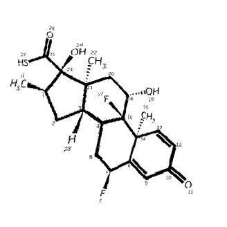 C[C@@H]1C[C@H]2C3C[C@H](F)C4=CC(=O)C=C[C@]4(C)[C@@]3(F)[C@@H](O)C[C@]2(C)[C@@]1(O)C(=O)S